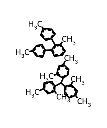 Cc1ccc(-c2cccc(C)c2-c2ccc(C)cc2)cc1.Cc1ccc(C(c2ccc(C)cc2C)c2ccc(C)cc2C)c(C)c1